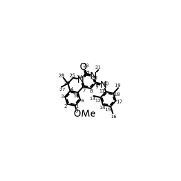 COc1ccc2c(c1)-c1cc(=Nc3c(C)cc(C)cc3C)n(C)c(=O)n1CC2(C)C